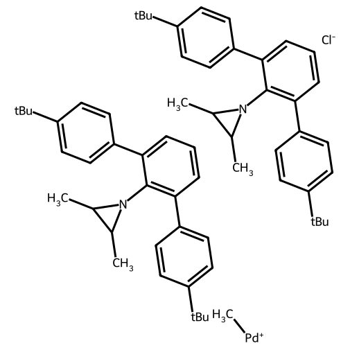 CC1C(C)N1c1c(-c2ccc(C(C)(C)C)cc2)cccc1-c1ccc(C(C)(C)C)cc1.CC1C(C)N1c1c(-c2ccc(C(C)(C)C)cc2)cccc1-c1ccc(C(C)(C)C)cc1.[CH3][Pd+].[Cl-]